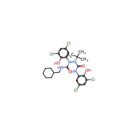 CC(C)(C)N(C(=O)Nc1cc(Cl)cc(Cl)c1O)N(C(=O)NCC1CCCCC1)c1cc(Cl)cc(Cl)c1O